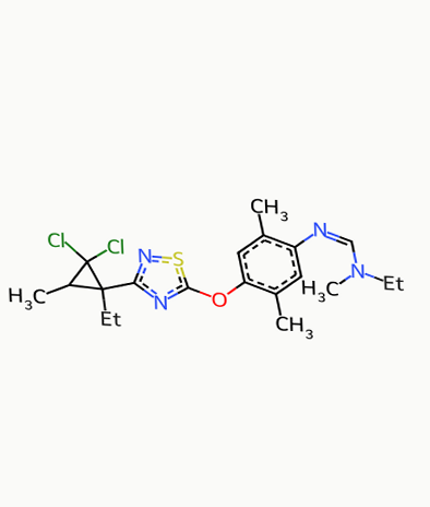 CCN(C)/C=N\c1cc(C)c(Oc2nc(C3(CC)C(C)C3(Cl)Cl)ns2)cc1C